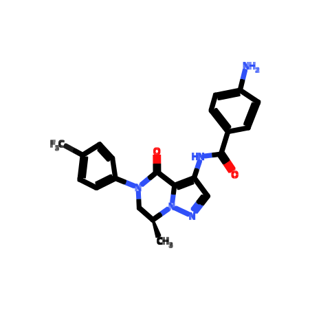 C[C@H]1CN(c2ccc(C(F)(F)F)cc2)C(=O)c2c(NC(=O)c3ccc(N)cc3)cnn21